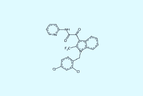 O=C(Nc1ccccn1)C(=O)c1c(C(F)(F)F)n(Cc2ccc(Cl)cc2Cl)c2ccccc12